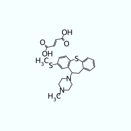 CSc1ccc2c(c1)C(N1CCN(C)CC1)Cc1ccccc1S2.O=C(O)C=CC(=O)O